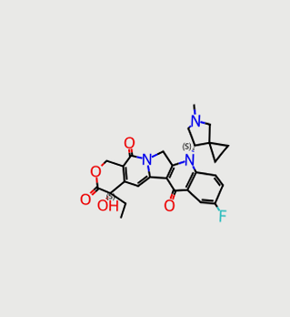 CC[C@@]1(O)C(=O)OCc2c1cc1n(c2=O)Cc2c-1c(=O)c1cc(F)ccc1n2[C@@H]1CN(C)CC12CC2